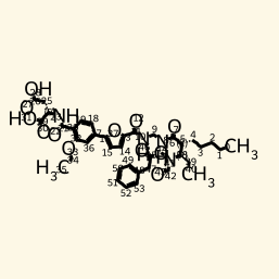 CCCCC[C@@H](C(=O)NCNC(=O)c1ccc(-c2ccc(C(=O)N[C@@H](CC(=O)O)C(=O)O)c(OCC)c2)o1)[C@@H](CC)N(C=O)OC(=O)Cc1ccccc1